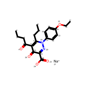 CCCC(=O)c1c(CCC)n(-c2ccc(OCC)cc2)nc(C(=O)[O-])c1=O.[Na+]